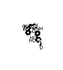 COCCN1CC[C@](O)(c2ccc(Nc3ncc4ccc(-c5ccccc5N(C)S(C)(=O)=O)n4n3)c(OC)c2)[C@@H](O)C1